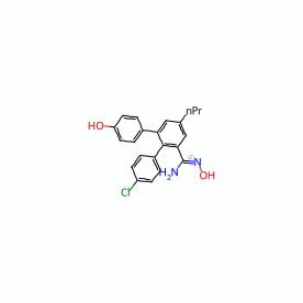 CCCc1cc(/C(N)=N/O)c(-c2ccc(Cl)cc2)c(-c2ccc(O)cc2)c1